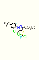 CCOC(=O)c1nn(-c2c(F)cc(C(F)(F)F)cc2Cl)c(C)c1SC(F)(Cl)Cl